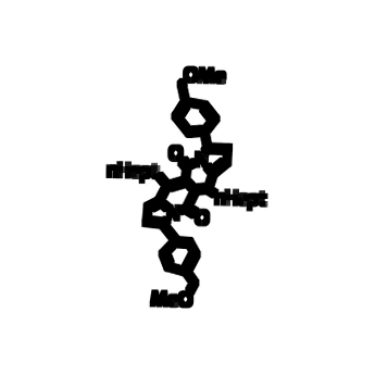 CCCCCCCc1c2c(=O)n3c(-c4ccc(COC)cc4)ccc3c(CCCCCCC)c2c(=O)n2c(-c3ccc(COC)cc3)ccc12